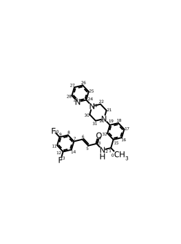 CC(NC(=O)C=Cc1cc(F)cc(F)c1)c1cccc(N2CCN(c3ccccn3)CC2)c1